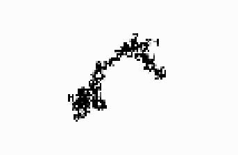 Cc1ncsc1-c1ccc(CNC(=O)[C@@H]2C[C@@H](O)CN2C(=O)[C@@H](NC(=O)CCCCCCCCC(=O)N2CCC(c3nnc(-c4cnc(Nc5ccc6c(c5)C(C)(C)OC6=O)nc4N[C@H](CO)c4ccccc4)o3)CC2)C(C)(C)C)cc1